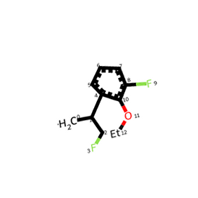 [CH2]C(CF)c1cccc(F)c1OCC